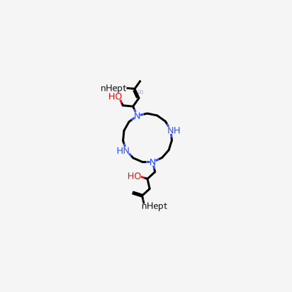 C=C(CCCCCCC)CC(O)CN1CCCNCCCN(C(/C=C(/C)CCCCCCC)CO)CCCNCC1